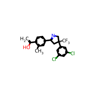 C=C(O)c1ccc(C2=NC[C@@](c3cc(Cl)cc(Cl)c3)(C(F)(F)F)C2)cc1C